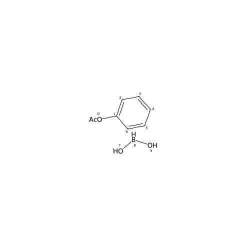 CC(=O)Oc1ccccc1.OBO